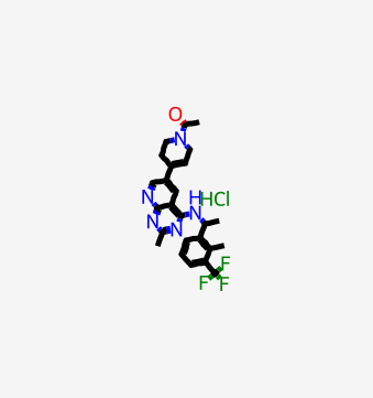 CC(=O)N1CC=C(c2cnc3nc(C)nc(NC(C)c4cccc(C(F)(F)F)c4C)c3c2)CC1.Cl